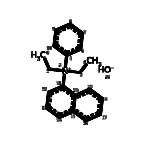 CC[N+](CC)(c1ccccc1)c1cccc2ccccc12.[OH-]